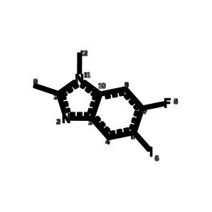 Cc1nc2cc(I)c(F)cc2n1C